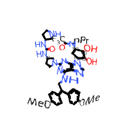 CCCN(C(=O)C(F)(F)F)[C@H]1C[C@@H](n2cnc3c(NCC(c4ccc(OC)cc4)c4ccc(OC)cc4)nc(N4CC[C@@H](NC(=O)NC5CCNC5)C4)nc32)[C@H](O)[C@@H]1O